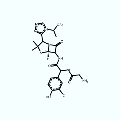 CC(=O)OC(C)n1nnnc1C1N2C(=O)C(NC(=O)C(NC(=O)CN)c3ccc(O)c(Cl)c3)[C@@H]2SC1(C)C